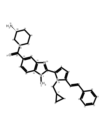 Cn1c(-c2ccc(/C=C/c3ccccc3)n2CC2CC2)nc2cc(C(=O)N3CCC[C@@H](N)C3)ccc21